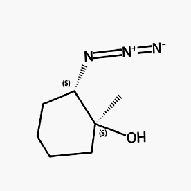 C[C@]1(O)CCCC[C@@H]1N=[N+]=[N-]